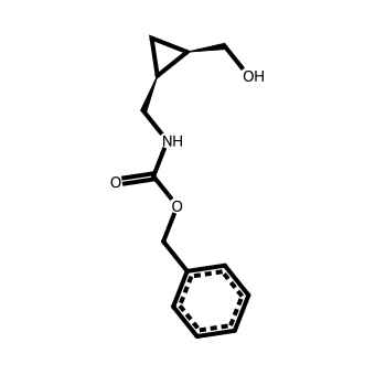 O=C(NC[C@H]1C[C@H]1CO)OCc1ccccc1